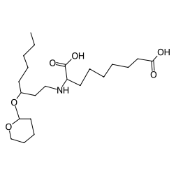 CCCCCC(CCNC(CCCCCCC(=O)O)C(=O)O)OC1CCCCO1